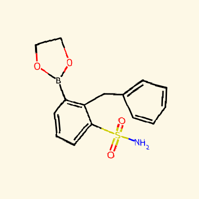 NS(=O)(=O)c1cccc(B2OCCO2)c1Cc1ccccc1